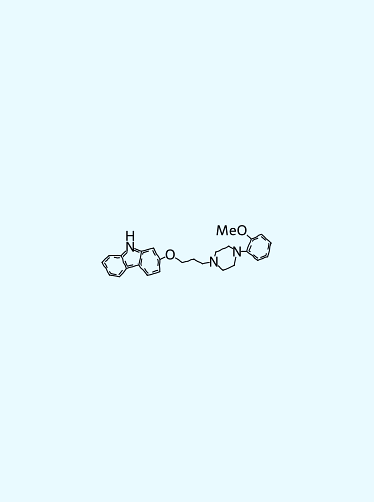 COc1ccccc1N1CCN(CCCOc2ccc3c(c2)[nH]c2ccccc23)CC1